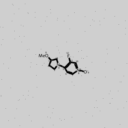 COC1CCN(c2cc[n+]([O-])cc2F)C1